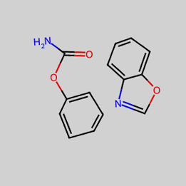 NC(=O)Oc1ccccc1.c1ccc2ocnc2c1